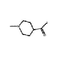 CN1CCC(C(=O)I)CC1